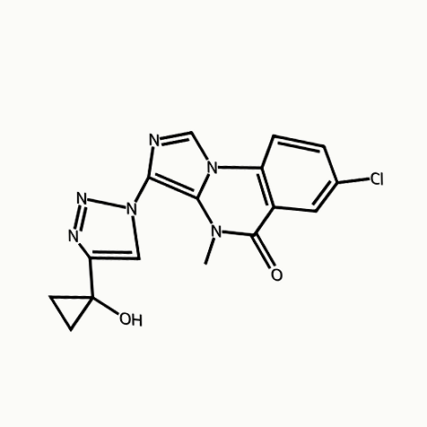 Cn1c(=O)c2cc(Cl)ccc2n2cnc(-n3cc(C4(O)CC4)nn3)c12